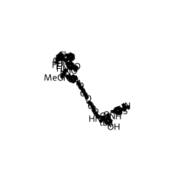 COc1nc(Nc2cc(S(C)(=O)=O)ccc2N[C@H](c2ccccc2Cl)c2cccc3c2OC(F)(F)O3)nc(N2CCN(CCOCCOCCOCCOCCOCCNC(C(=O)C3C[C@H](O)CC3C(=O)NCc3ccc(-c4scnc4C)cc3)C(C)(C)C)CC2)n1